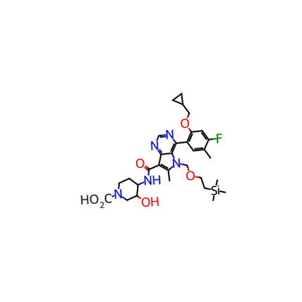 Cc1cc(-c2ncnc3c(C(=O)NC4CCN(C(=O)O)CC4O)c(C)n(COCC[Si](C)(C)C)c23)c(OCC2CC2)cc1F